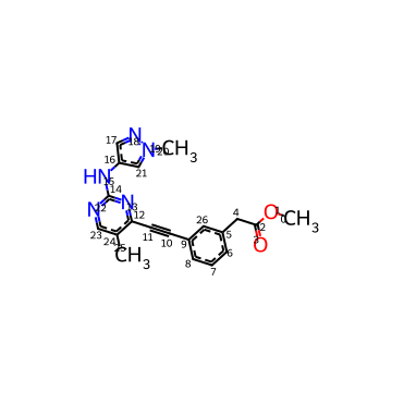 COC(=O)Cc1cccc(C#Cc2nc(Nc3cnn(C)c3)ncc2C)c1